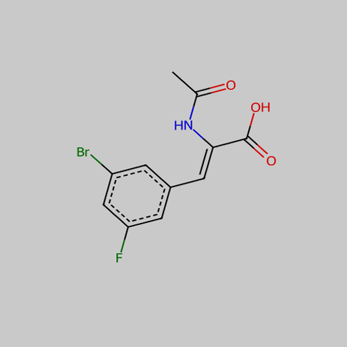 CC(=O)N/C(=C\c1cc(F)cc(Br)c1)C(=O)O